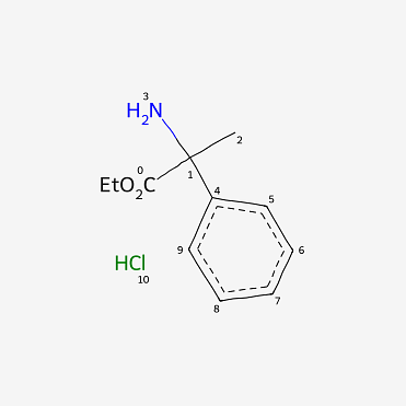 CCOC(=O)C(C)(N)c1ccccc1.Cl